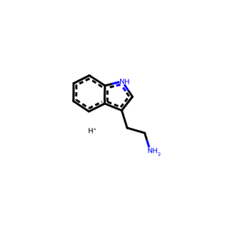 NCCc1c[nH]c2ccccc12.[H+]